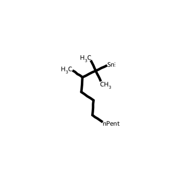 CCCCCCCCC(C)[C](C)(C)[Sn]